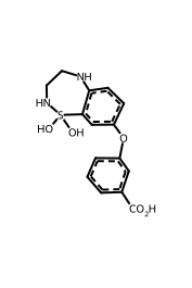 O=C(O)c1cccc(Oc2ccc3c(c2)S(O)(O)NCCN3)c1